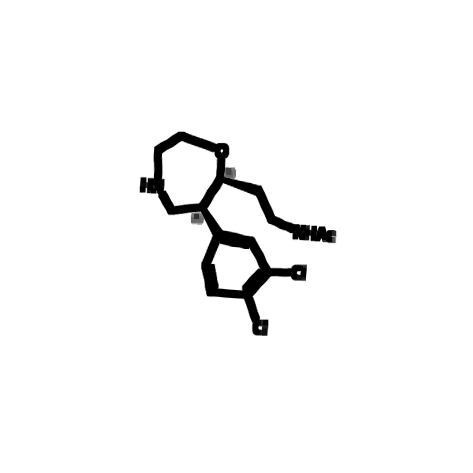 CC(=O)NCC[C@@H]1OCCNC[C@@H]1c1ccc(Cl)c(Cl)c1